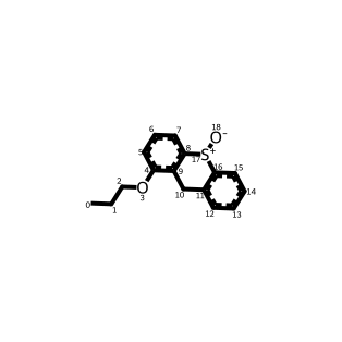 CCCOc1cccc2c1Cc1ccccc1[S+]2[O-]